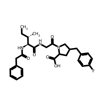 CC[C@H](C)[C@H](NC(=O)Cc1ccccc1)C(=O)NCC(=O)N1CC(Cc2ccc(F)cc2)CC1C(=O)O